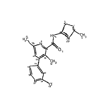 Cc1csc(NC(=O)c2nc(C)cc(-c3ccnc(Cl)c3)c2C)n1